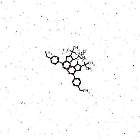 CCc1ccc(-c2cccc3c2C=C(C(C)(C)C)[CH]3[Ti+2]2([CH]3C(C(C)(C)C)=Cc4c(-c5ccc(CC)cc5)cccc43)[CH2][CH2]2)cc1.[Cl-].[Cl-]